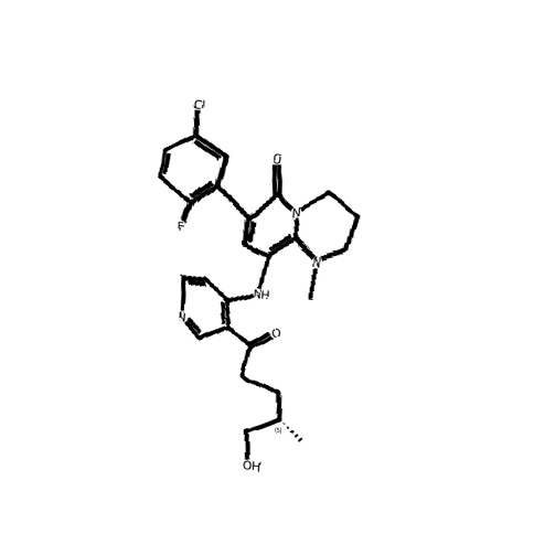 C[C@H](CO)CCC(=O)c1cnccc1Nc1cc(-c2cc(Cl)ccc2F)c(=O)n2c1N(C)CCC2